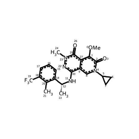 COc1c(=O)n(C2CC2)cc2c(N[C@H](C)c3cccc(C(F)(F)F)c3C)nn(C)c(=O)c12